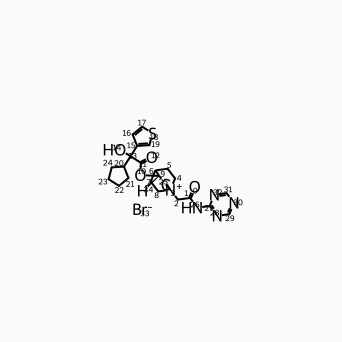 O=C(C[N+]12CCC(CC1)[C@@H](OC(=O)C(O)(c1ccsc1)C1CCCC1)C2)Nc1ncncn1.[Br-]